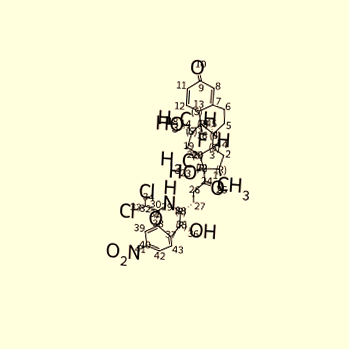 C[C@@H]1C[C@H]2[C@@H]3CCC4=CC(=O)C=C[C@]4(C)[C@@]3(F)[C@@H](O)C[C@]2(C)[C@@]1(O)C(=O)[CH]C[C@@H](NC(=O)C(Cl)Cl)[C@H](O)c1ccc([N+](=O)[O-])cc1